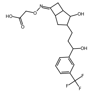 O=C(O)CO/N=C1/CC2C1CC(CCC(O)c1cccc(C(F)(F)F)c1)C2O